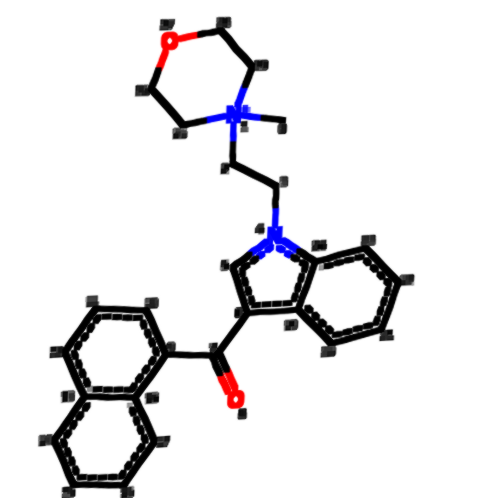 C[N+]1(CCn2cc(C(=O)c3cccc4ccccc34)c3ccccc32)CCOCC1